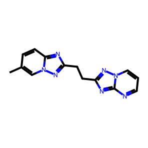 Cc1ccc2nc(CCc3nc4ncccn4n3)nn2c1